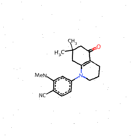 CNc1cc(N2CCCC3=C2CC(C)(C)CC3=O)ccc1C#N